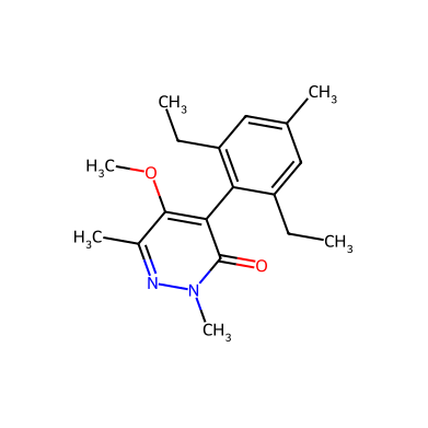 CCc1cc(C)cc(CC)c1-c1c(OC)c(C)nn(C)c1=O